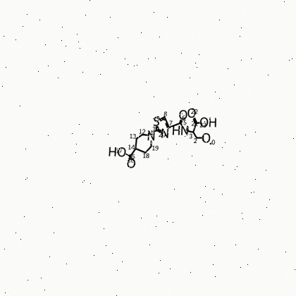 COCC(NC(=O)c1csc(N2CCC(C(=O)O)CC2)n1)C(=O)O